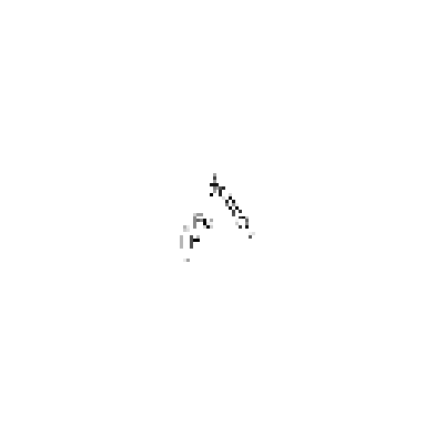 [Fe].[Hf].[O]=[Zr]